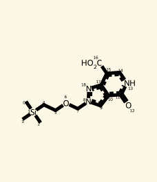 C[Si](C)(C)CCOCn1cc2c(=O)[nH]cc(C(=O)O)c2n1